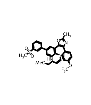 COCC(=N)/C=C\Nc1ccc(-c2cccc(S(C)(=O)=O)c2)cc1-c1oc(C)nc1-c1ccc(OC(F)(F)F)cc1